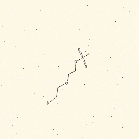 CS(=O)(=S)OCCOCCBr